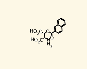 N[C@H](C(=O)O)[C@H](OC(=O)c1ccc2ccccc2c1)C(=O)O